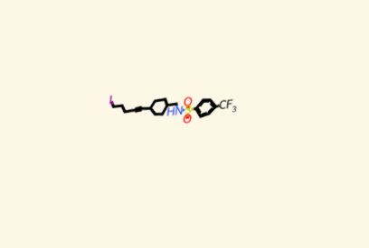 O=S(=O)(NCC1CCC(C#CCCCI)CC1)c1ccc(C(F)(F)F)cc1